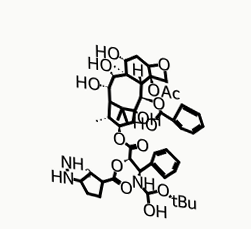 CC(=O)O[C@]12COC1C[C@@H](O)[C@@]1(C)[C@H]2[C@@H](OC(O)c2ccccc2)[C@@]2(O)C[C@@H](OC(=O)[C@@H](OC(=O)C3CCC(NN)C3)[C@H](NC(O)OC(C)(C)C)c3ccccc3)[C@H](C)C([C@H](O)[C@@H]1O)C2(C)C